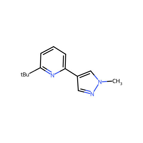 Cn1cc(-c2cccc(C(C)(C)C)n2)cn1